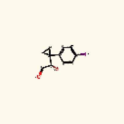 O=CC(Br)C1(c2ccc(I)cc2)CC1